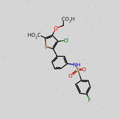 O=C(O)COc1c(C(=O)O)sc(-c2cccc(NS(=O)(=O)c3ccc(F)cc3)c2)c1Cl